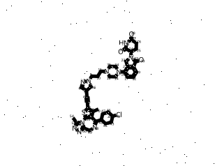 Cc1c(C#CC2C=NN(CCCN3CCN(c4cccc5c4CN(C4CCC(=O)NC4=O)C5=O)CC3)C2)sc2c1C(C1CCC(Cl)CC1)=NCc1nnc(C)n1-2